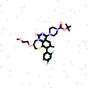 COCCO[C@H]1CSc2c(-c3ccc(F)cc3F)c(C)cc3c(N4CCN(C(=O)OC(C)(C)C)CC4)nc(=O)n(c23)C1